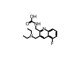 CCN(CC)Cc1cc2c(F)cccc2nc1CNC(=O)O